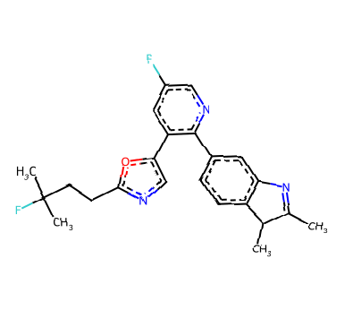 CC1=Nc2cc(-c3ncc(F)cc3-c3cnc(CCC(C)(C)F)o3)ccc2C1C